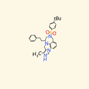 Cc1[nH]cnc1CN1c2ccccc2CN(S(=O)(=O)c2ccc(C(C)(C)C)cc2)CC1CCc1ccccc1